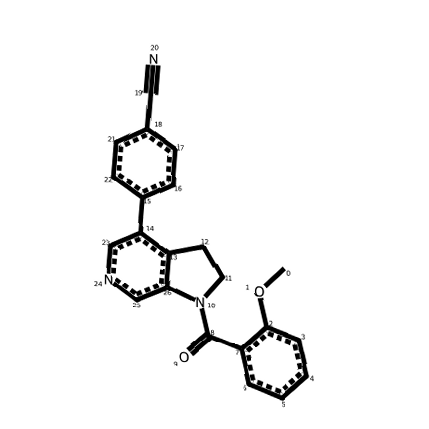 COc1ccccc1C(=O)N1CCc2c(-c3ccc(C#N)cc3)cncc21